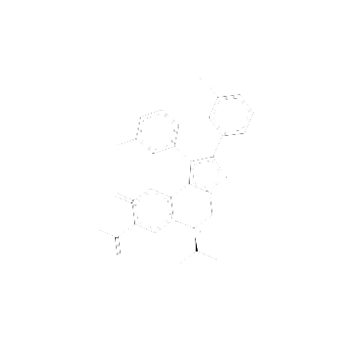 CC(C)[C@@H]1Cn2nc(-c3cccc(O)c3)c(-c3cccc(O)c3)c2-c2cc(=O)c(C(=O)O)cn21